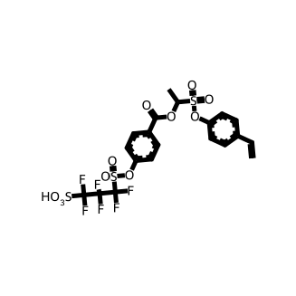 C=Cc1ccc(OS(=O)(=O)C(C)OC(=O)c2ccc(OS(=O)(=O)C(F)(F)C(F)(F)C(F)(F)S(=O)(=O)O)cc2)cc1